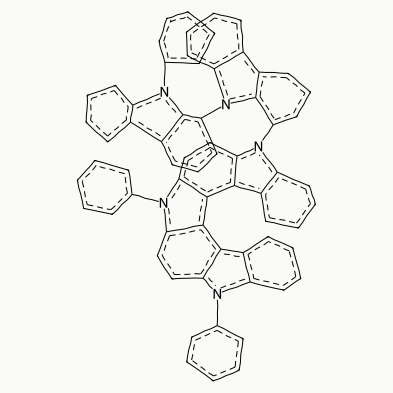 c1ccc(-n2c3ccccc3c3c4c5c6c7ccccc7n(-c7cccc8c9ccccc9n(-c9cccc%10c%11ccccc%11n(-c%11ccccc%11)c9%10)c78)c6ccc5n(-c5ccccc5)c4ccc32)cc1